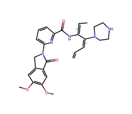 C=C/C=C(\C(=C/C)NC(=O)c1cccc(N2Cc3cc(OC)c(OC)cc3C2=O)n1)N1CCNCC1